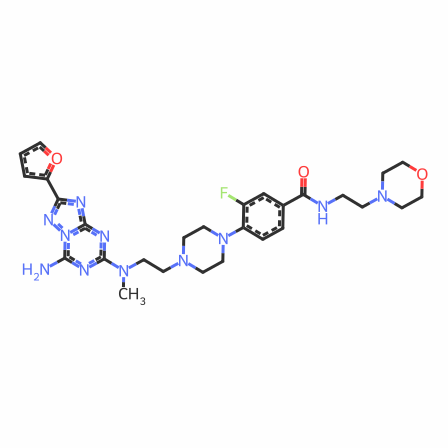 CN(CCN1CCN(c2ccc(C(=O)NCCN3CCOCC3)cc2F)CC1)c1nc(N)n2nc(-c3ccco3)nc2n1